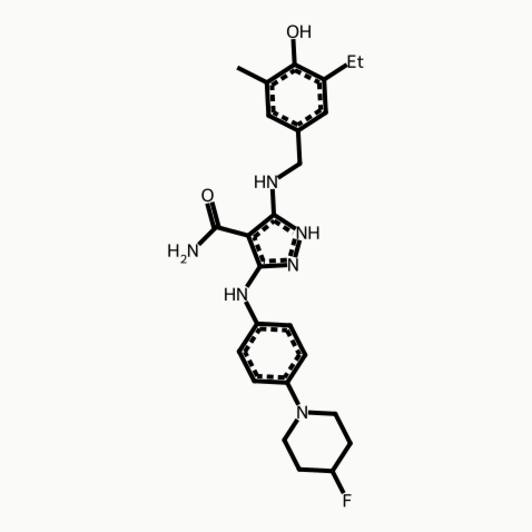 CCc1cc(CNc2[nH]nc(Nc3ccc(N4CCC(F)CC4)cc3)c2C(N)=O)cc(C)c1O